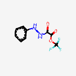 O=C(NNc1ccccc1)C(=O)OC(F)(F)F